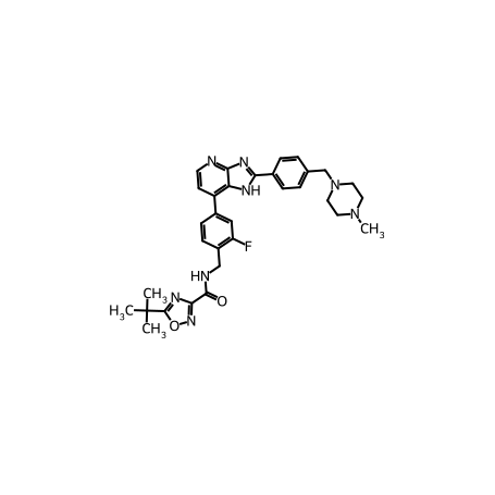 CN1CCN(Cc2ccc(-c3nc4nccc(-c5ccc(CNC(=O)c6noc(C(C)(C)C)n6)c(F)c5)c4[nH]3)cc2)CC1